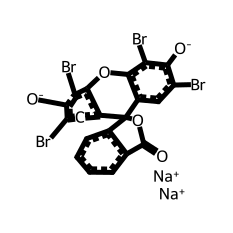 O=C1OC2(c3ccccc31)c1cc(Br)c([O-])c(Br)c1Oc1c2cc(Br)c([O-])c1Br.[Na+].[Na+]